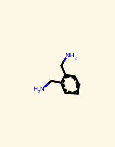 NCc1c[c]ccc1CN